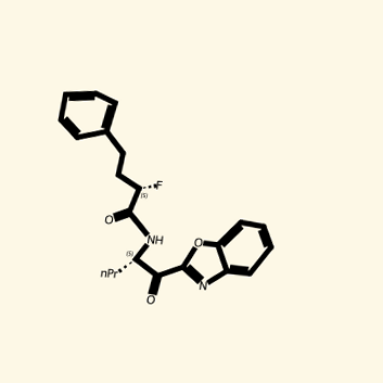 CCC[C@H](NC(=O)[C@@H](F)CCc1ccccc1)C(=O)c1nc2ccccc2o1